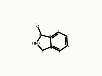 [O]C1NCc2ccccc21